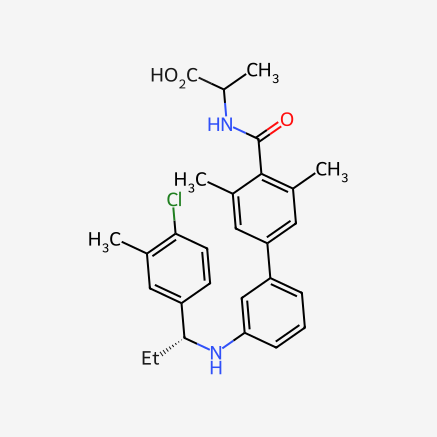 CC[C@@H](Nc1cccc(-c2cc(C)c(C(=O)NC(C)C(=O)O)c(C)c2)c1)c1ccc(Cl)c(C)c1